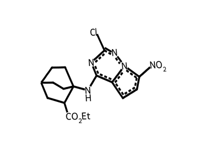 CCOC(=O)C1CC2CCC1(Nc1nc(Cl)nn3c([N+](=O)[O-])ccc13)CC2